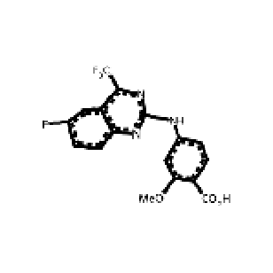 COc1cc(Nc2nc(C(F)(F)F)c3cc(F)ccc3n2)ccc1C(=O)O